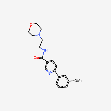 COc1cccc(-c2ccc(C(=O)NCCN3CCOCC3)cn2)c1